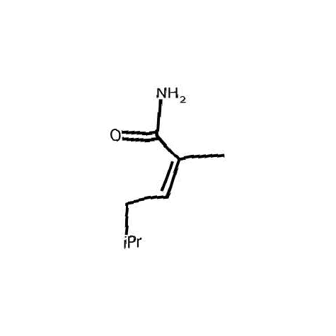 CC(=CCC(C)C)C(N)=O